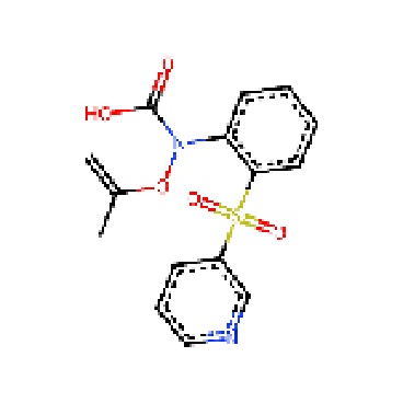 C=C(C)ON(C(=O)O)c1ccccc1S(=O)(=O)c1cccnc1